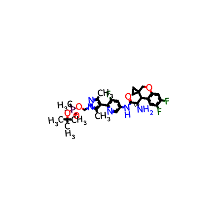 Cc1nn(COP(C)(=O)OC(C)(C)C)c(C)c1-c1ncc(NC(=O)[C@@H](N)C2c3cc(F)c(F)cc3OCC23CC3)cc1F